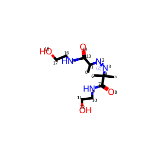 CC(/N=N\C(C)(C)C(=O)NCCO)C(=O)NCCO